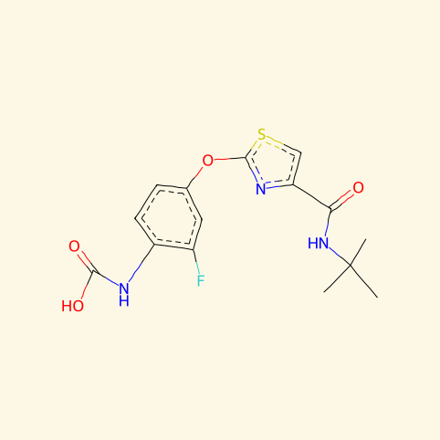 CC(C)(C)NC(=O)c1csc(Oc2ccc(NC(=O)O)c(F)c2)n1